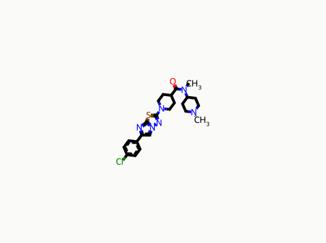 CN1CCC(N(C)C(=O)C2CCN(c3nn4cc(-c5ccc(Cl)cc5)nc4s3)CC2)CC1